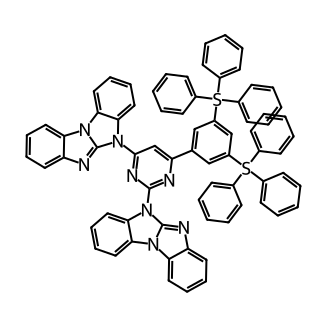 c1ccc(S(c2ccccc2)(c2ccccc2)c2cc(-c3cc(-n4c5ccccc5n5c6ccccc6nc45)nc(-n4c5ccccc5n5c6ccccc6nc45)n3)cc(S(c3ccccc3)(c3ccccc3)c3ccccc3)c2)cc1